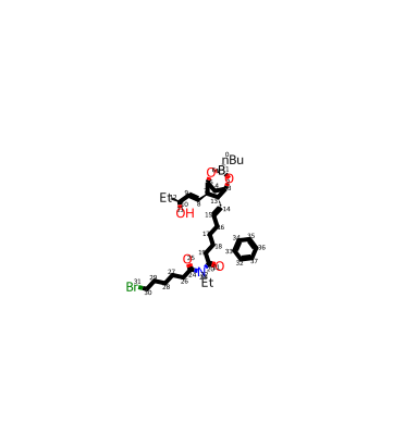 CCCCB1OC2CC(O1)[C@H](C=C[C@@H](O)CC)[C@H]2C=CCCCCC(=O)N(CC)C(=O)CCCCCBr.c1ccccc1